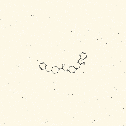 O=C(CN1CCN(Cc2nc3ccccc3s2)CC1)N1CCC(Cc2ccccc2)CC1